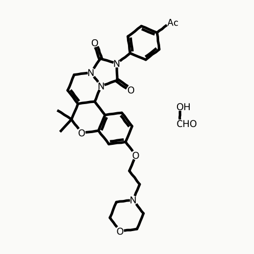 CC(=O)c1ccc(-n2c(=O)n3n(c2=O)C2C(=CC3)C(C)(C)Oc3cc(OCCN4CCOCC4)ccc32)cc1.O=CO